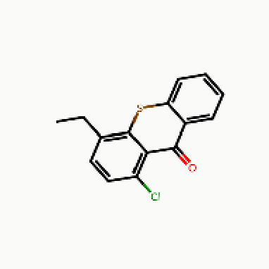 CCc1ccc(Cl)c2c(=O)c3ccccc3sc12